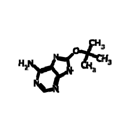 CC(C)(C)OC1=Nc2c(N)ncnc2[N]1